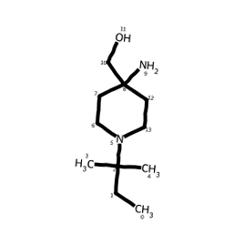 CCC(C)(C)N1CCC(N)(CO)CC1